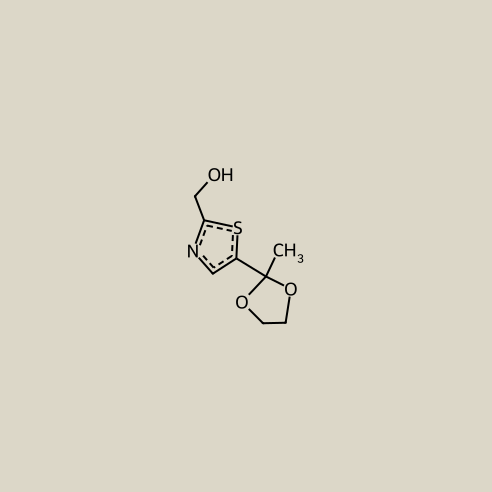 CC1(c2cnc(CO)s2)OCCO1